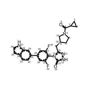 O=C(C1CC1)N1CC[C@@H](Cc2n[nH]c(=O)n2-c2c(F)cc(-c3ccc4cc[nH]c4c3)cc2F)C1